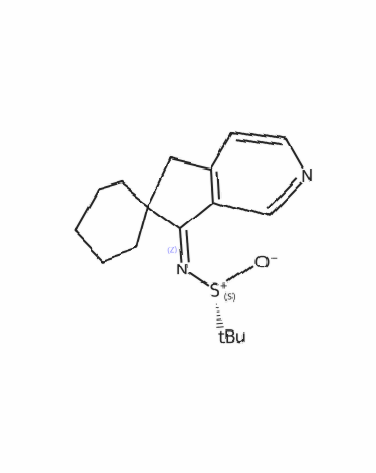 CC(C)(C)[S@@+]([O-])/N=C1\c2cnccc2CC12CCCCC2